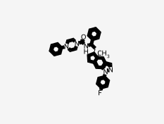 C[C@]12Cc3cnn(-c4ccc(F)cc4)c3C=C1CC[C@@H]2CC(NC(=O)N1CCN(c2ccccc2)CC1)c1ccccc1